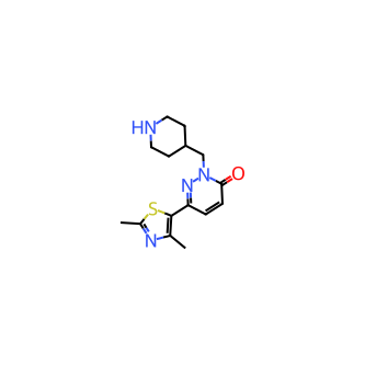 Cc1nc(C)c(-c2ccc(=O)n(CC3CCNCC3)n2)s1